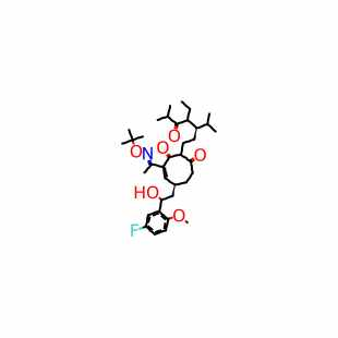 CCC(C(=O)C(C)C)[C@H](CCC1C(=O)CC[C@@H](CC(O)c2cc(F)ccc2OC)/C=C(/C(C)=N/OC(C)(C)C)C1=O)C(C)C